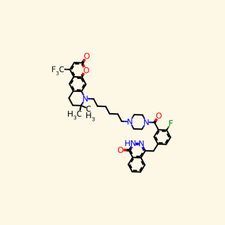 CC1(C)CCc2cc3c(C(F)(F)F)cc(=O)oc3cc2N1CCCCCCN1CCN(C(=O)c2cc(Cc3n[nH]c(=O)c4ccccc34)ccc2F)CC1